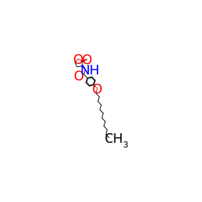 CCCCCCCCCCCCOc1ccc(C(=O)NC2CCOC2=O)cc1